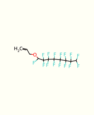 C=CCOC(F)C(F)(F)C(F)(F)C(F)(F)C(F)(F)C(F)(F)C(F)(F)C(F)F